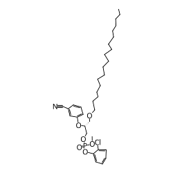 CCCCCCCCCCCCCCCCCCOC[C@H](COP(=O)(OC)Oc1ccccc1Cl)Oc1cccc(C#N)c1